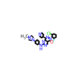 CN1CCN(c2ccc(Nc3ncc4c(=O)n(-c5c(F)cccc5Cl)nc(-c5ccncc5)c4n3)cc2)CC1